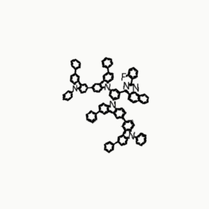 Fc1ccccc1-c1nc(-c2cc(-n3c4ccc(-c5ccccc5)cc4c4cc(-c5ccc6c(c5)c5cc(-c7ccccc7)ccc5n6-c5ccccc5)ccc43)cc(-n3c4ccc(-c5ccccc5)cc4c4cc(-c5ccc6c(c5)c5cc(-c7ccccc7)ccc5n6-c5ccccc5)ccc43)c2)c2ccc3ccccc3c2n1